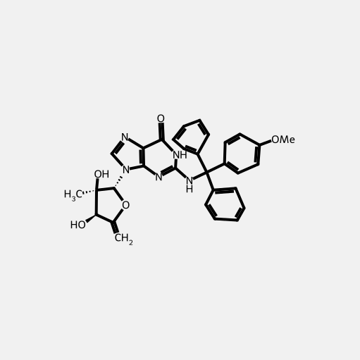 C=C1O[C@@H](n2cnc3c(=O)[nH]c(NC(c4ccccc4)(c4ccccc4)c4ccc(OC)cc4)nc32)[C@](C)(O)[C@@H]1O